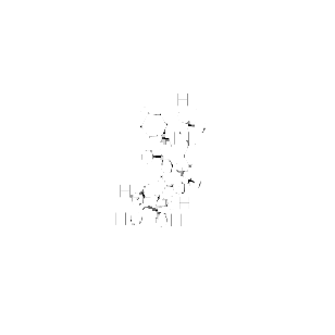 CC(=O)NCCCS(=O)(=O)OC(COC(=O)OC1CCCCC1)C(C)(C)[C@@H](O)C(=O)O